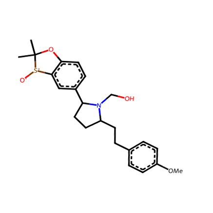 COc1ccc(CCC2CCC(c3ccc4c(c3)[S+]([O-])C(C)(C)O4)N2CO)cc1